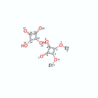 CCOc1c(OCC)c(=O)c1=O.O=c1c(O)c(O)c1=O